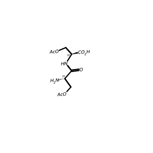 CC(=O)OC[C@H](NC(=O)[C@@H](N)COC(C)=O)C(=O)O